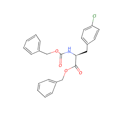 O=C(N[C@@H](Cc1ccc(Cl)cc1)C(=O)OCc1ccccc1)OCc1ccccc1